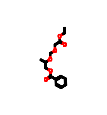 CCOC(=O)COCOC(C)COC(=O)c1ccccc1